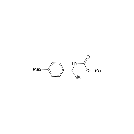 CCCCC(NC(=O)OC(C)(C)C)c1ccc(SC)cc1